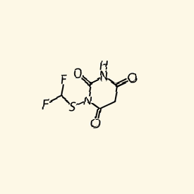 O=C1CC(=O)N(SC(F)F)C(=O)N1